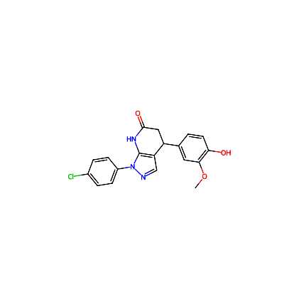 COc1cc(C2CC(=O)Nc3c2cnn3-c2ccc(Cl)cc2)ccc1O